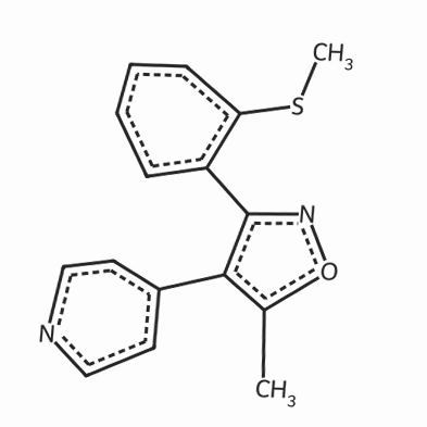 CSc1ccccc1-c1noc(C)c1-c1ccncc1